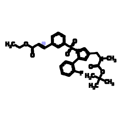 CCOC(=O)/C=C/c1cccc(S(=O)(=O)n2cc(CN(C)C(=O)OC(C)(C)C)cc2-c2ccccc2F)c1